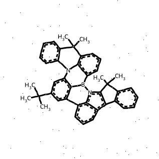 CC(C)(C)c1cc2c3c(c1)N1c4ccccc4C(C)(C)c4cccc(c41)B3n1c3c(c4cccc-2c41)-c1ccccc1C3(C)C